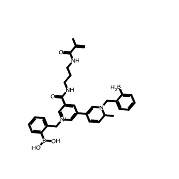 Bc1ccccc1CN1C=C(c2cc(C(=O)NCCCNC(=O)C(=C)C)c[n+](Cc3ccccc3B(O)O)c2)C=CC1C